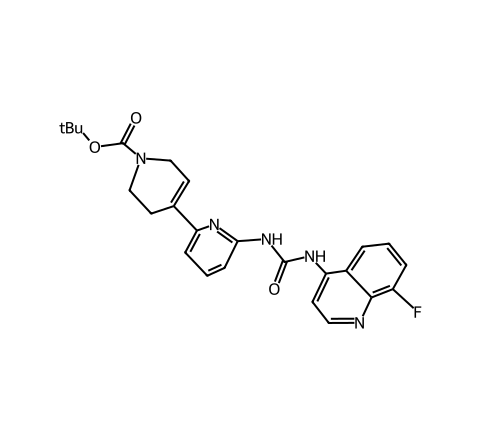 CC(C)(C)OC(=O)N1CC=C(c2cccc(NC(=O)Nc3ccnc4c(F)cccc34)n2)CC1